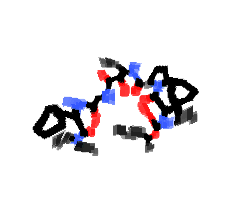 CCCC(NC(=O)[C@@H]1CCCN1C(=O)C(NC(=O)OC(C)C(C)C)C1(C)CCCCC1)C(=O)C(=O)NCC(=O)NC(C(=O)N(C)C)c1ccccc1